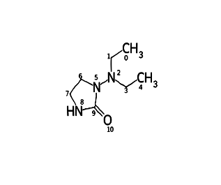 CCN(CC)N1CCNC1=O